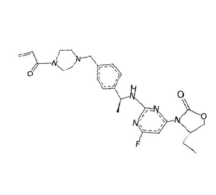 C=CC(=O)N1CCN(Cc2ccc([C@H](C)Nc3nc(F)cc(N4C(=O)OC[C@@H]4CC)n3)cc2)CC1